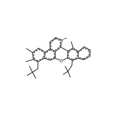 Cc1cc2c(cc3c4c([n+](C)ccc42)-c2c(c(CC(C)(C)C)c4ccccc4c2C)O3)c(CC(C)(C)C)c1C